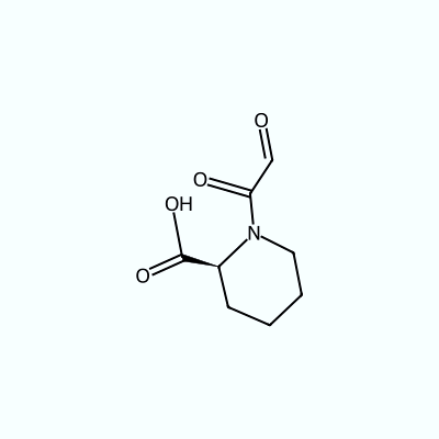 O=CC(=O)N1CCCC[C@H]1C(=O)O